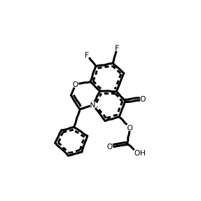 O=C(O)Oc1cn2c3c(c(F)c(F)cc3c1=O)OC=C2c1ccccc1